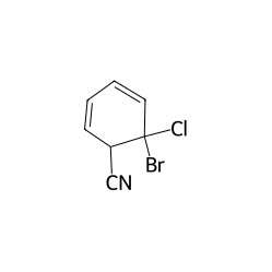 N#CC1C=CC=CC1(Cl)Br